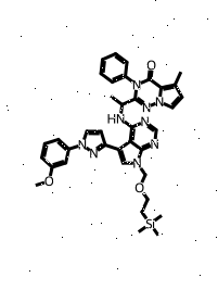 COc1cccc(-n2ccc(-c3cn(COCC[Si](C)(C)C)c4ncnc(NC(C)c5nn6ccc(C)c6c(=O)n5-c5ccccc5)c34)n2)c1